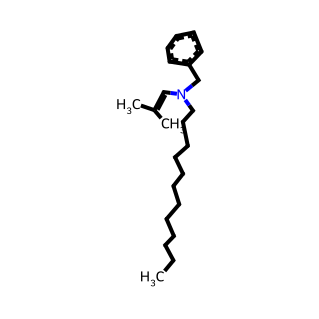 CCCCCCCCCCCCN(C=C(C)C)Cc1ccccc1